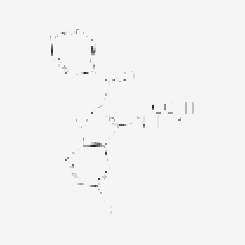 O=C(O)Nc1c(C(=O)c2ccccc2)oc2ccc(Br)cc12